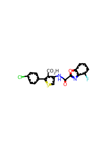 O=C(Nc1csc(-c2ccc(Cl)cc2)c1C(=O)O)c1nc2c(F)cccc2o1